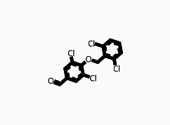 O=Cc1cc(Cl)c(OCc2c(Cl)cccc2Cl)c(Cl)c1